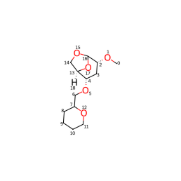 CO[C@@H]1C[C@H](OCC2CCCCO2)[C@H]2COC1O2